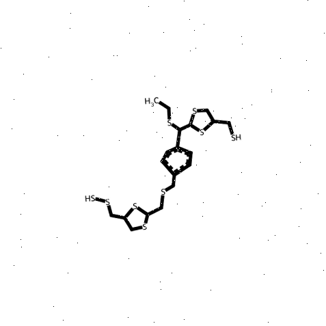 CCSC(c1ccc(CSCC2SCC(CSS)S2)cc1)C1SCC(CS)S1